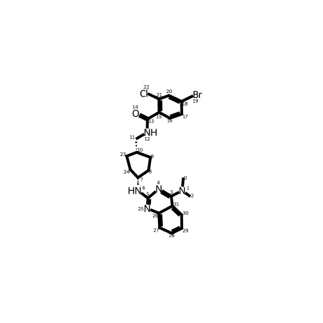 CN(C)c1nc(N[C@H]2CC[C@@H](CNC(=O)c3ccc(Br)cc3Cl)CC2)nc2ccccc12